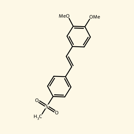 COc1ccc(/C=C/c2ccc(S(C)(=O)=O)cc2)cc1OC